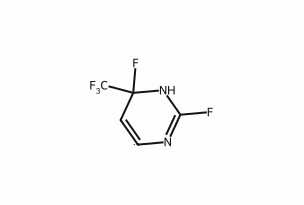 FC1=N[C]=CC(F)(C(F)(F)F)N1